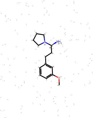 COc1cccc(CC[C@H](N)N2CCCC2)c1